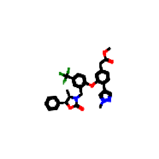 COC(=O)Cc1ccc(-c2cnn(C)c2)c(Oc2ccc(C(F)(F)F)cc2CN2C(=O)O[C@@H](c3ccccc3)[C@H]2C)c1